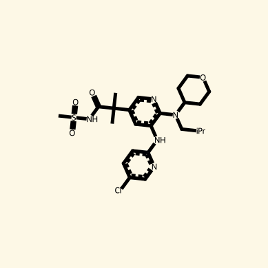 CC(C)CN(c1ncc(C(C)(C)C(=O)NS(C)(=O)=O)cc1Nc1ccc(Cl)cn1)C1CCOCC1